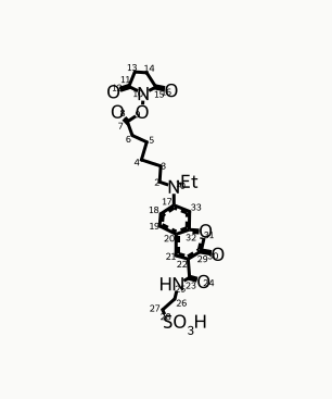 CCN(CCCCCC(=O)ON1C(=O)CCC1=O)c1ccc2cc(C(=O)NCCS(=O)(=O)O)c(=O)oc2c1